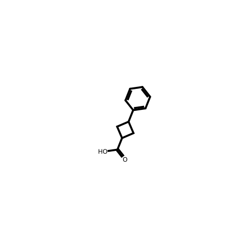 O=C(O)C1CC(c2ccccc2)C1